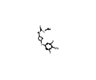 CC(C)(C)OC(=O)NC1CC(Oc2cc(F)c(C(C)(C)C)c(F)c2)C1